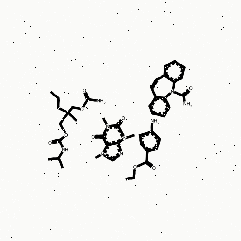 CCCC(C)(COC(N)=O)COC(=O)NC(C)C.CCOC(=O)c1ccc(N)cc1.Cn1c(=O)c2c(ncn2C)n(C)c1=O.NC(=O)N1c2ccccc2C=Cc2ccccc21